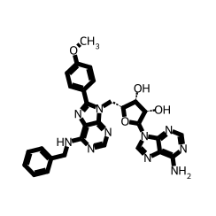 COc1ccc(-c2nc3c(NCc4ccccc4)ncnc3n2C[C@H]2OC(n3cnc4c(N)ncnc43)[C@@H](O)[C@H]2O)cc1